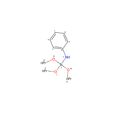 CCCO[Si](Nc1ccccc1)(OCCC)OCCC